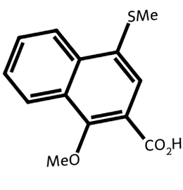 COc1c(C(=O)O)cc(SC)c2ccccc12